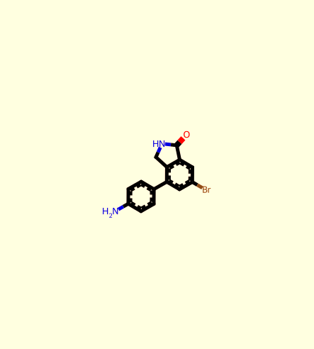 Nc1ccc(-c2cc(Br)cc3c2CNC3=O)cc1